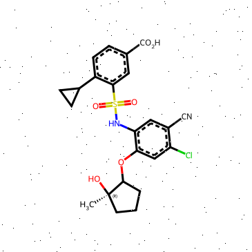 C[C@@]1(O)CCCC1Oc1cc(Cl)c(C#N)cc1NS(=O)(=O)c1cc(C(=O)O)ccc1C1CC1